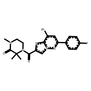 CC(C)c1cc(-c2ccc(F)cc2)nn2cc(C(=O)N3CCN(C)C(=O)C3(C)C)nc12